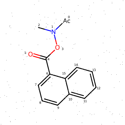 CC(=O)N(C)OC(=O)c1cccc2ccccc12